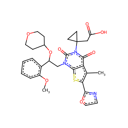 COc1ccccc1C(Cn1c(=O)n(C2(CC(=O)O)CC2)c(=O)c2c(C)c(-c3ncco3)sc21)OC1CCOCC1